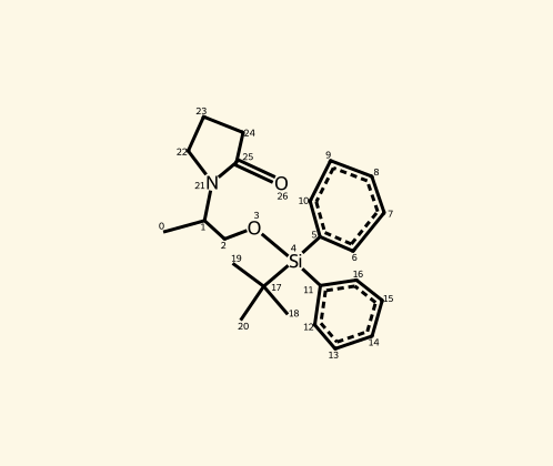 CC(CO[Si](c1ccccc1)(c1ccccc1)C(C)(C)C)N1CCCC1=O